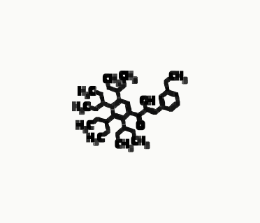 CCc1cccc(C=C(O)C(=O)c2cc(C(CC)CC)c(C(CC)CC)c(C(CC)CC)c2C(CC)CC)c1